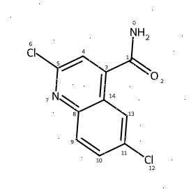 NC(=O)c1cc(Cl)nc2ccc(Cl)cc12